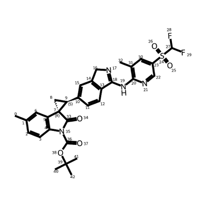 Cc1ccc2c(c1)[C@]1(C[C@H]1c1ccc3c(c1)CN=C3Nc1ncc(S(=O)(=O)C(F)F)cc1C)C(=O)N2C(=O)OC(C)(C)C